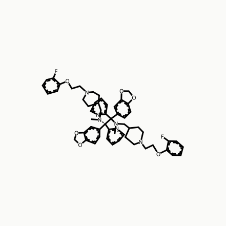 CN(CC1CCN(CCOc2ccccc2F)CC1)C(c1ccc2c(c1)OCO2)(c1ccccn1)[C@](c1ccc2c(c1)OCO2)(c1ccccn1)N(C)CC1CCN(CCOc2ccccc2F)CC1